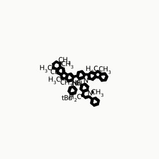 C=C1C=C(c2ccccc2)N(C)c2cc3c(cc21)Bc1c(-c2cc4c(cc2Nc2ccc(C(C)(C)C)cc2)C(C)(C)c2cc5c(cc2-4)C(C)(C)CCC5(C)C)ccc2c4cc5c(cc4n-3c12)-c1ccccc1C5(C)C